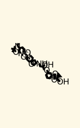 CN1CC(C)(C)Oc2nc(S(=O)(=O)N3CCC4(CC3)CC(NCC(O)COc3cccc(S(=O)(=O)C5(CO)CC5)c3)CO4)ccc21